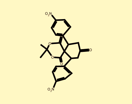 CC1(C)OC(=O)C2(C(=O)O1)C(c1ccc([N+](=O)[O-])cc1)CC(=O)CC2c1ccc([N+](=O)[O-])cc1